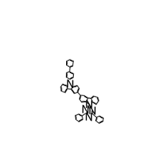 c1ccc(-c2ccc(-n3c4ccccc4c4cc(-c5ccc6c(c5)c5ccccc5n6-c5nc(-c6ccccc6)nc(-c6ccccc6)n5)ccc43)cc2)cc1